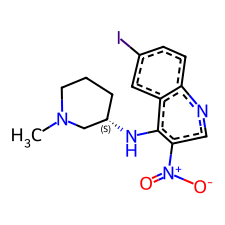 CN1CCC[C@H](Nc2c([N+](=O)[O-])cnc3ccc(I)cc23)C1